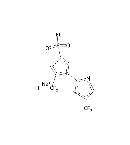 CCS(=O)(=O)c1cc(C(F)(F)F)n(-c2ncc(C(F)(F)F)s2)c1.[H-].[Na+]